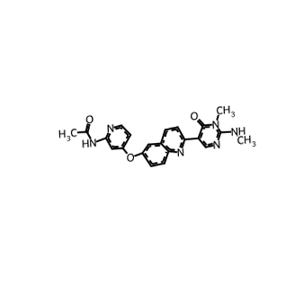 CNc1ncc(-c2ccc3cc(Oc4ccnc(NC(C)=O)c4)ccc3n2)c(=O)n1C